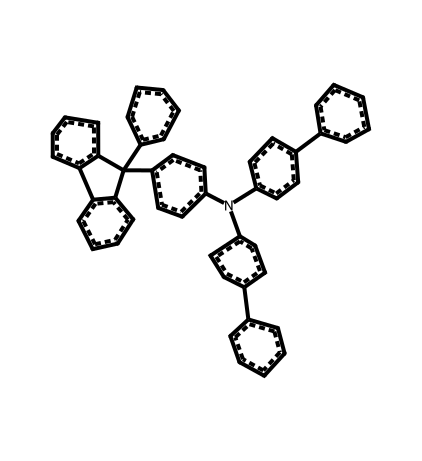 c1ccc(-c2ccc(N(c3ccc(-c4ccccc4)cc3)c3ccc(C4(c5ccccc5)c5ccccc5-c5ccccc54)cc3)cc2)cc1